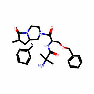 CC1C[C@]2(Cc3ccccc3)CN(C(=O)[C@@H](COCc3ccccc3)NC(=O)C(C)(C)N)CCN2C1=O